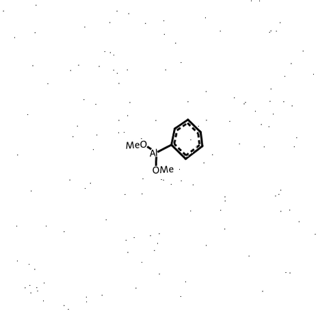 C[O][Al]([O]C)[c]1ccccc1